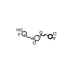 O=C(/C=C/c1ccc(F)c(Cl)c1)N1CCC(=O)N(CCCN2CC[C@H](O)[C@@H](F)C2)CC1